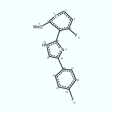 COc1cccc(F)c1-c1nc(-c2ccc(F)cc2)c[nH]1